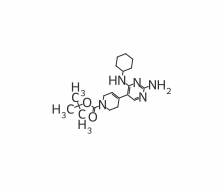 CC(C)(C)OC(=O)N1CC=C(c2cnc(N)nc2NC2CCCCC2)CC1